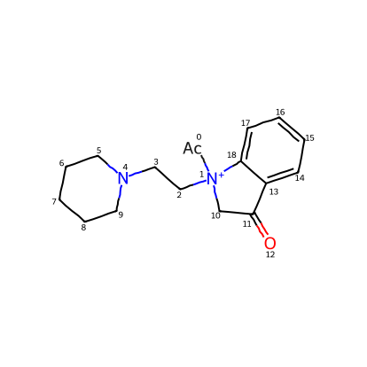 CC(=O)[N+]1(CCN2CCCCC2)CC(=O)c2ccccc21